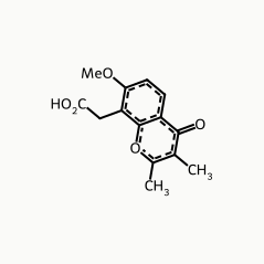 COc1ccc2c(=O)c(C)c(C)oc2c1CC(=O)O